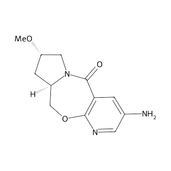 CO[C@H]1C[C@@H]2COc3ncc(N)cc3C(=O)N2C1